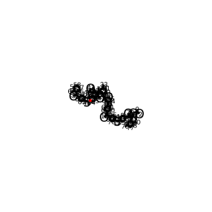 CC(=O)O/N=C(\C(=O)c1ccc(Sc2ccc(C(=O)c3ccc(N4CCOC(Cc5ccc(C)cc5/C(=N/OC(C)=O)C(=O)c5ccc(Sc6ccc(C(=O)c7ccccc7C)cc6)cc5)C4)cc3)cc2)cc1)c1cc(C)ccc1C